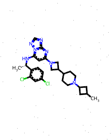 CC1CC(N2CCC(C3CN(c4cc(N[C@@H](C)c5ccc(Cl)cc5Cl)n5ncnc5n4)C3)CC2)C1